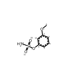 COc1cccc(OS(N)(=O)=O)c1